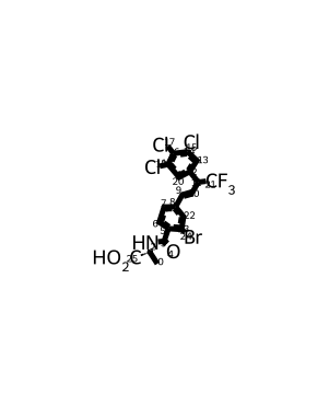 C[C@@H](NC(=O)c1ccc(C=CC(c2cc(Cl)c(Cl)c(Cl)c2)C(F)(F)F)cc1Br)C(=O)O